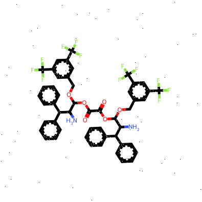 NC(C(OCc1cc(C(F)(F)F)cc(C(F)(F)F)c1)OC(=O)C(=O)OC(OCc1cc(C(F)(F)F)cc(C(F)(F)F)c1)C(N)C(c1ccccc1)c1ccccc1)C(c1ccccc1)c1ccccc1